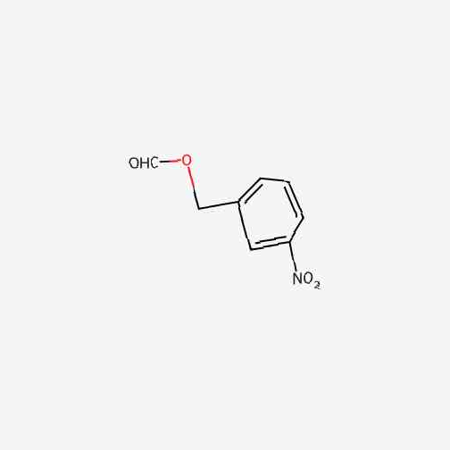 O=COCc1cccc([N+](=O)[O-])c1